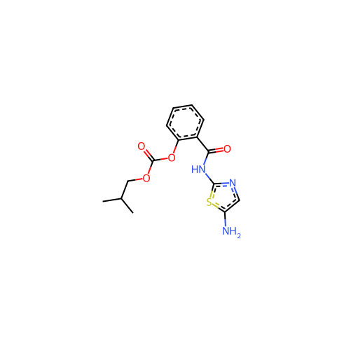 CC(C)COC(=O)Oc1ccccc1C(=O)Nc1ncc(N)s1